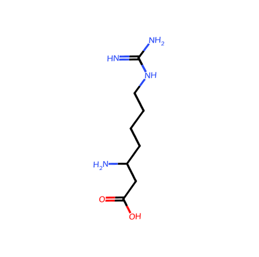 N=C(N)NCCCCC(N)CC(=O)O